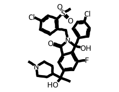 CN1CCC(C(C)(O)c2cc(F)c3c(c2)C(=O)N(Cc2ccc(Cl)cc2S(C)(=O)=O)C3(O)c2ccc(Cl)cc2)CC1